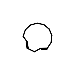 [CH]1CC/C=C/C/C=C/CCCCC1